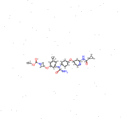 CC(C)(C)OC(=O)N1CC(Oc2cc(N(C(N)=O)c3ccc(Oc4ccnc(NC(=O)C5CC5)c4)cc3)cc(C(F)(F)F)c2)C1